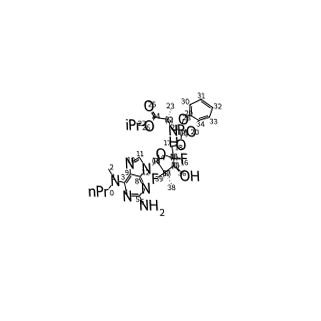 CCCN(C)c1nc(N)nc2c1ncn2[C@@H]1O[C@](F)(CO[P@](=O)(N[C@@H](C)C(=O)OC(C)C)Oc2ccccc2)[C@@H](O)[C@@]1(C)F